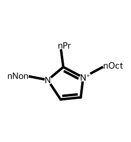 CCCCCCCCCn1cc[n+](CCCCCCCC)c1CCC